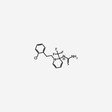 NC(=S)NC1(C(F)(F)F)C=CC=CN1CCc1ccccc1Cl